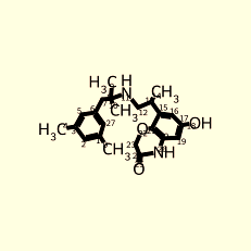 Cc1cc(C)cc(CC(C)(C)NCC(C)c2cc(O)cc3c2OCC(=O)N3)c1